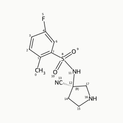 Cc1ccc(F)cc1S(=O)(=O)N[C@]1(C#N)CCNC1